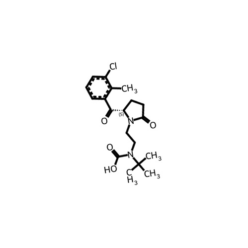 Cc1c(Cl)cccc1C(=O)[C@@H]1CCC(=O)N1CCN(C(=O)O)C(C)(C)C